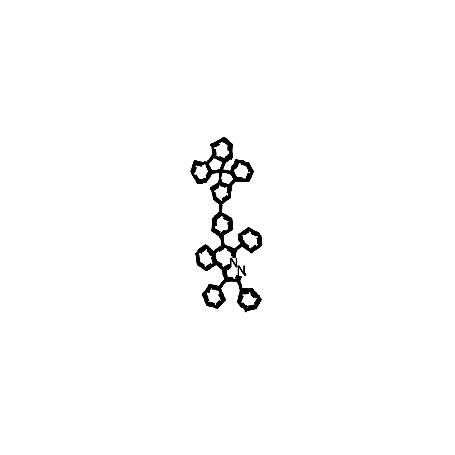 c1ccc(-c2nn3c(-c4ccccc4)c(-c4ccc(-c5ccc6c(c5)-c5ccccc5C65c6ccccc6-c6ccccc65)cc4)c4ccccc4c3c2-c2ccccc2)cc1